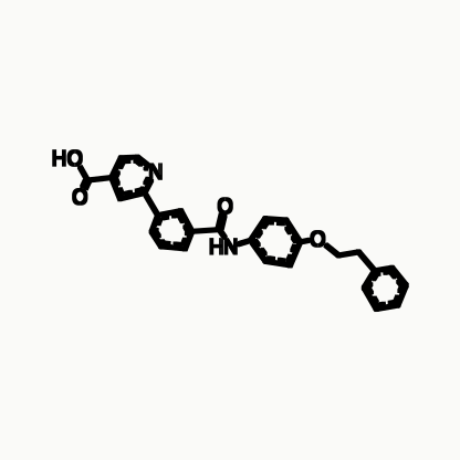 O=C(O)c1ccnc(-c2cccc(C(=O)Nc3ccc(OCCc4ccccc4)cc3)c2)c1